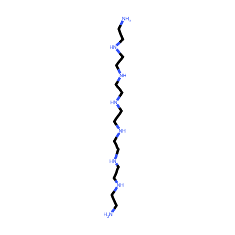 NCCNCCNCCNCCNCCNCCNCCN